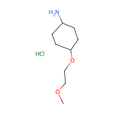 COCCOC1CCC(N)CC1.Cl